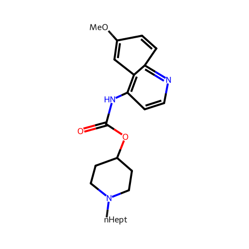 CCCCCCCN1CCC(OC(=O)Nc2ccnc3ccc(OC)cc23)CC1